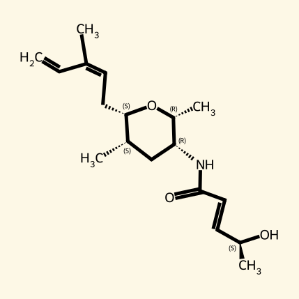 C=CC(C)=CC[C@@H]1O[C@H](C)[C@H](NC(=O)C=C[C@H](C)O)C[C@@H]1C